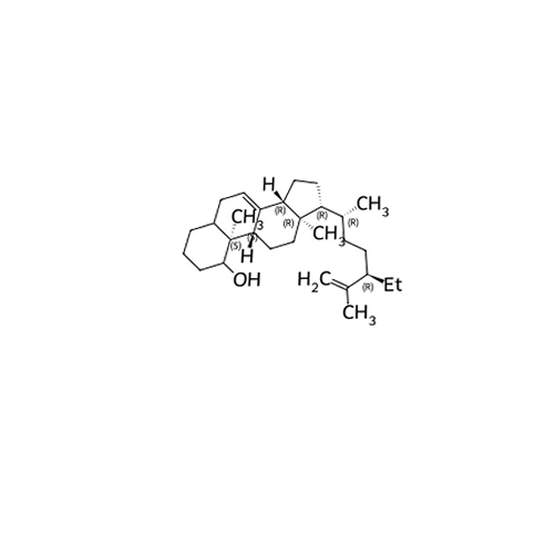 C=C(C)[C@H](CC)CC[C@@H](C)[C@H]1CC[C@H]2C3=CCC4CCCC(O)[C@]4(C)[C@H]3CC[C@]12C